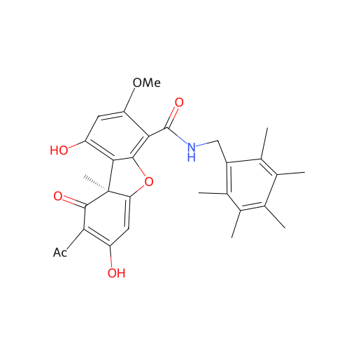 COc1cc(O)c2c(c1C(=O)NCc1c(C)c(C)c(C)c(C)c1C)OC1=CC(O)=C(C(C)=O)C(=O)[C@]12C